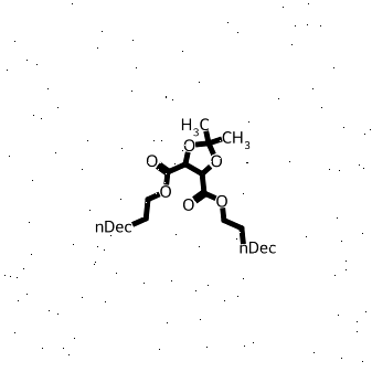 CCCCCCCCCCCCOC(=O)C1OC(C)(C)OC1C(=O)OCCCCCCCCCCCC